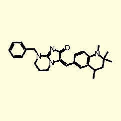 CC1CC(C)(C)N(C)c2ccc(/C=C3\C(=O)N=C4N(Cc5ccccc5)CCCN43)cc21